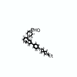 CCN1CC2(C1)CN(c1ccc(-c3cc4c(N5CCN(C=O)CC5)ccnn4c3)cc1)C2